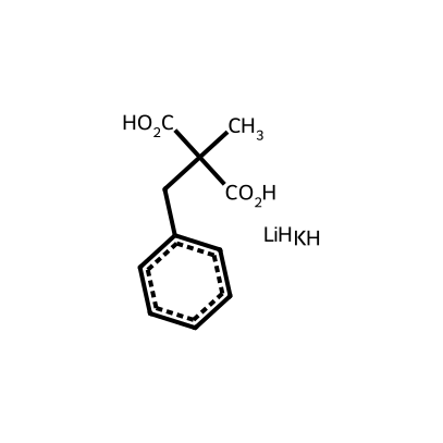 CC(Cc1ccccc1)(C(=O)O)C(=O)O.[KH].[LiH]